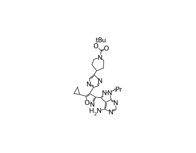 CC(C)n1nc(-c2noc(C3CC3)c2-c2cnc(C3CCN(C(=O)OC(C)(C)C)CC3)cn2)c2c(N)ncnc21